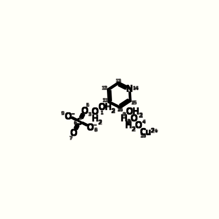 O.O.O.O.O.O=S(=O)([O-])[O-].[Cu+2].c1ccncc1